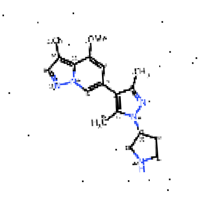 COc1cc(-c2c(C)nn([C@H]3CCNC3)c2C)cn2ncc(C#N)c12